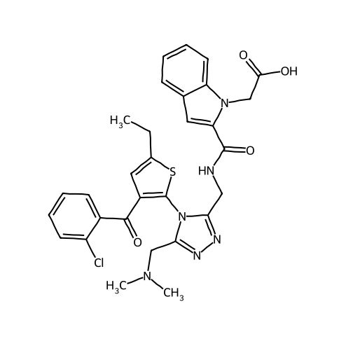 CCc1cc(C(=O)c2ccccc2Cl)c(-n2c(CNC(=O)c3cc4ccccc4n3CC(=O)O)nnc2CN(C)C)s1